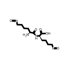 N[C@H](CCCCN=O)C(=O)N[C@H](CCCCN=O)C(=O)O